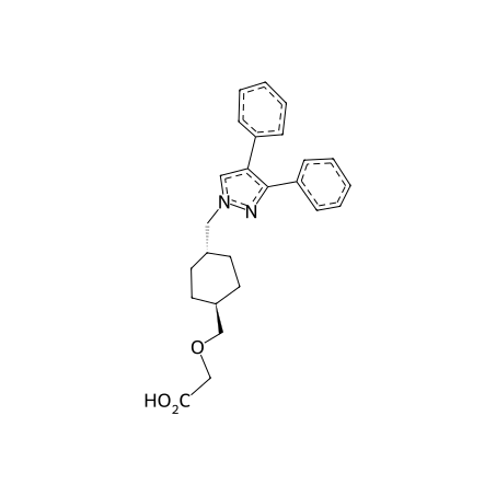 O=C(O)COC[C@H]1CC[C@H](Cn2cc(-c3ccccc3)c(-c3ccccc3)n2)CC1